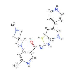 CC(=O)N1CC2(C1)CN(c1cc(C)ncc1C(=O)Nc1nc3ncc(-c4ccncc4)cc3s1)C2